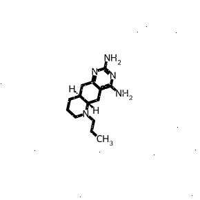 CCCN1CCC[C@H]2Cc3nc(N)nc(N)c3C[C@@H]21